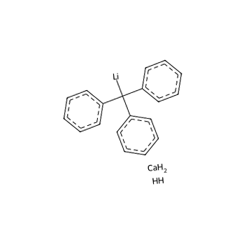 [CaH2].[HH].[Li][C](c1ccccc1)(c1ccccc1)c1ccccc1